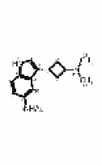 CC(=O)Nc1ccc2[nH]cc([C@H]3C[C@H](N(C)C)C3)c2c1